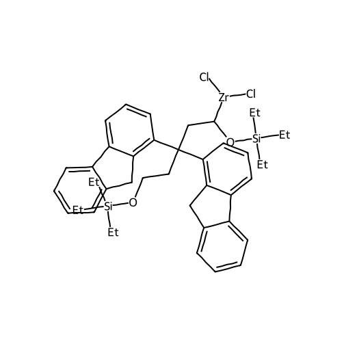 CC[Si](CC)(CC)OCCC(C[CH](O[Si](CC)(CC)CC)[Zr]([Cl])[Cl])(c1cccc2c1Cc1ccccc1-2)c1cccc2c1Cc1ccccc1-2